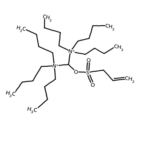 C=CCS(=O)(=O)OC([N+](CCCC)(CCCC)CCCC)[N+](CCCC)(CCCC)CCCC